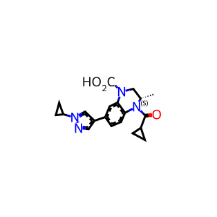 C[C@H]1CN(C(=O)O)c2cc(-c3cnn(C4CC4)c3)ccc2N1C(=O)C1CC1